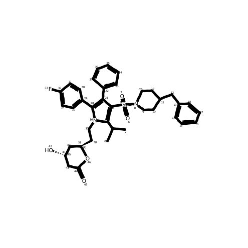 CC(C)c1c(S(=O)(=O)N2CCC(Cc3ccccc3)CC2)c(-c2ccccc2)c(-c2ccc(F)cc2)n1CC[C@@H]1C[C@@H](O)CC(=O)O1